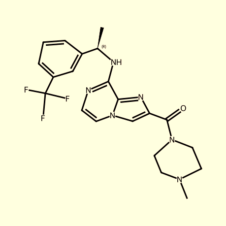 C[C@@H](Nc1nccn2cc(C(=O)N3CCN(C)CC3)nc12)c1cccc(C(F)(F)F)c1